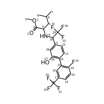 COC(=O)C(CC(C)C)NC(c1ccc(-c2cc(C(F)(F)F)ccc2F)c(O)c1)C(F)(F)F